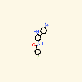 CN(C)[C@H]1CCc2c([nH]c3ccc(NC(=O)c4ccc(F)cc4)cc23)C1